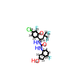 O=C(Nc1ccc(F)c2c1C[C@H](O)C2)N[C@@H]1CC(CF)(CF)Oc2c1ccc(Cl)c2F